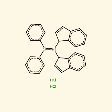 C1=C[CH]([Hf]([CH]2C=Cc3ccccc32)=[Si](c2ccccc2)c2ccccc2)c2ccccc21.Cl.Cl